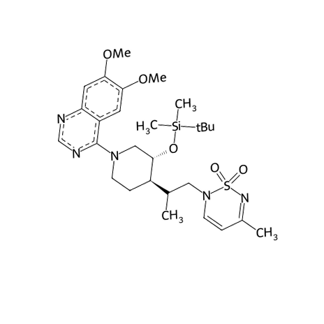 COc1cc2ncnc(N3CC[C@H](C(C)CN4C=CC(C)=NS4(=O)=O)[C@@H](O[Si](C)(C)C(C)(C)C)C3)c2cc1OC